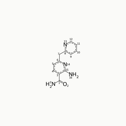 NC(=O)c1ccc(Cc2ccccn2)nc1N